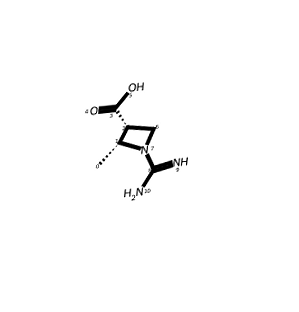 C[C@@H]1[C@H](C(=O)O)CN1C(=N)N